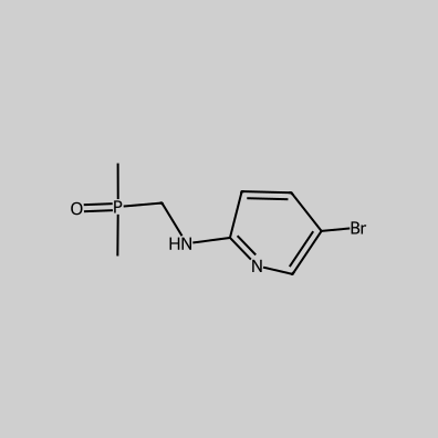 CP(C)(=O)CNc1ccc(Br)cn1